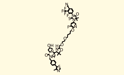 Cc1ncsc1-c1ccc(CNC(=O)[C@@H]2C[C@@H](O)CN2C(=O)[C@@H](NC(=O)COCCOCCCCOc2ncc(N3C(=S)N(c4ccc(C#N)c(C(F)(F)F)c4F)C(=O)C3(C)C)cc2F)C(C)(C)C)cc1